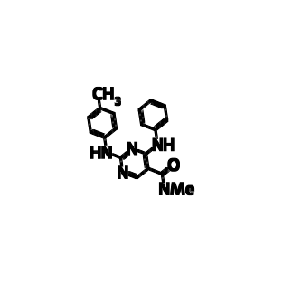 CNC(=O)c1cnc(Nc2ccc(C)cc2)nc1Nc1ccccc1